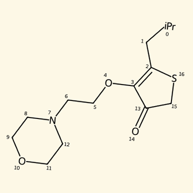 CC(C)CC1=C(OCCN2CCOCC2)C(=O)CS1